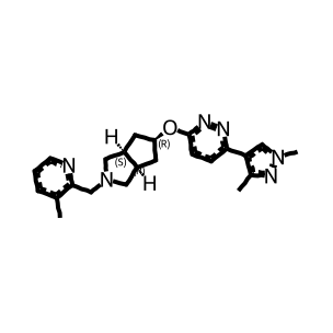 Cc1cccnc1CN1C[C@H]2C[C@@H](Oc3ccc(-c4cn(C)nc4C)nn3)C[C@H]2C1